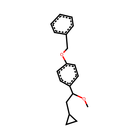 COC(CC1CC1)c1ccc(OCc2ccccc2)cc1